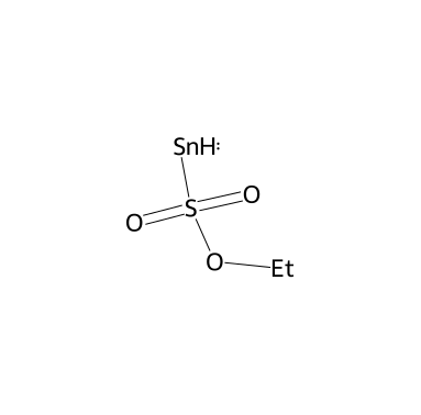 CCO[S](=O)(=O)[SnH]